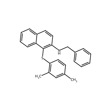 Cc1ccc(Sc2c(NCc3ccccc3)ccc3ccccc23)c(C)c1